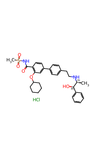 C[C@H](NCCc1ccc(-c2ccc(C(=O)NS(C)(=O)=O)c(OC3CCCCC3)c2)cc1)[C@H](O)c1ccccc1.Cl